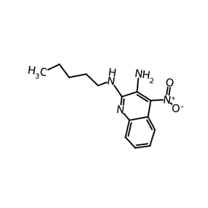 CCCCCNc1nc2ccccc2c([N+](=O)[O-])c1N